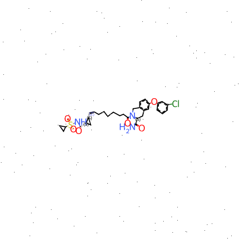 NC(=O)[C@@H]1Cc2cc(Oc3cccc(Cl)c3)ccc2CN1C(=O)CCCCCC/C=C\[C@@H]1C[C@@H]1C(=O)NS(=O)(=O)C1CC1